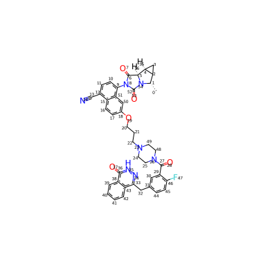 C[C@H]1C2C[C@@H]2[C@@H]2C(=O)N(c3ccc(C#N)c4ccc(OCCCN5CCN(C(=O)c6cc(Cc7n[nH]c(=O)c8ccccc78)ccc6F)CC5)cc34)C(=O)N12